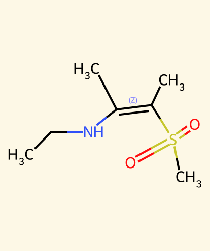 CCN/C(C)=C(/C)S(C)(=O)=O